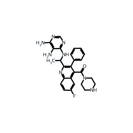 CC(Nc1ncnc(N)c1N)c1nc2ccc(F)cc2c(C(=O)N2CCNCC2)c1-c1ccccc1